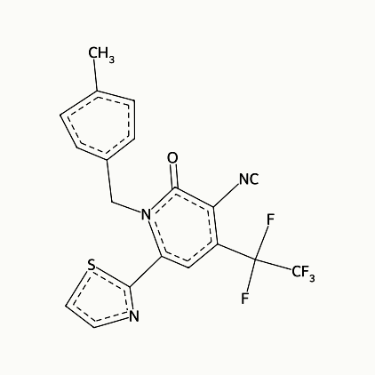 [C-]#[N+]c1c(C(F)(F)C(F)(F)F)cc(-c2nccs2)n(Cc2ccc(C)cc2)c1=O